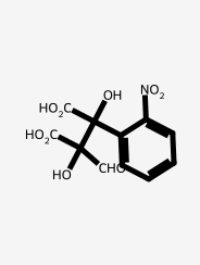 O=CC(O)(C(=O)O)C(O)(C(=O)O)c1ccccc1[N+](=O)[O-]